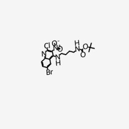 CC(C)(C)OC(=O)NCCCCNc1c([N+](=O)[O-])c(Cl)nc2ccc(Br)cc12